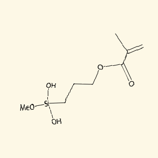 C=C(C)C(=O)OCCC[Si](O)(O)OC